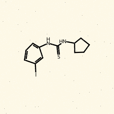 S=C(Nc1cccc(I)c1)NC1CCCC1